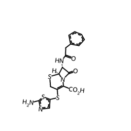 Nc1ncc(SC2=C(C(=O)O)N3C(=O)[C@@H](NC(=O)Cc4ccccc4)[C@@H]3SC2)s1